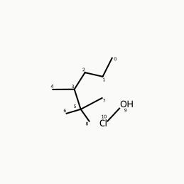 CCCC(C)C(C)(C)C.OCl